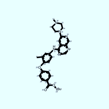 Cc1cc(Nc2ncnc3cnc(N4CCN(C)CC4)cc23)ccc1Oc1ccc(C(=O)OC(C)(C)C)cc1